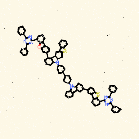 C1=CC(n2c3ccccc3c3cc(-c4ccc5sc6c(-c7nc(-c8ccccc8)nc(-c8ccccc8)n7)cccc6c5c4)ccc32)CC=C1c1ccc(N2c3cccc(-c4ccc5c(c4)oc4c(-c6nc(-c7ccccc7)nc(-c7ccccc7)n6)cccc45)c3C3C=c4c(sc5ccccc45)=CC32)cc1